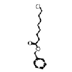 O=C(CCCCCCCCl)OCc1ccccc1